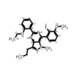 CCCc1nn(C)c2c(-c3[c]ccc(OC)c3F)nc(-c3ccccc3OCC)nc12